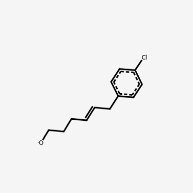 [O]CCCC=CCc1ccc(Cl)cc1